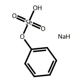 O=[Se](=O)(O)Oc1ccccc1.[NaH]